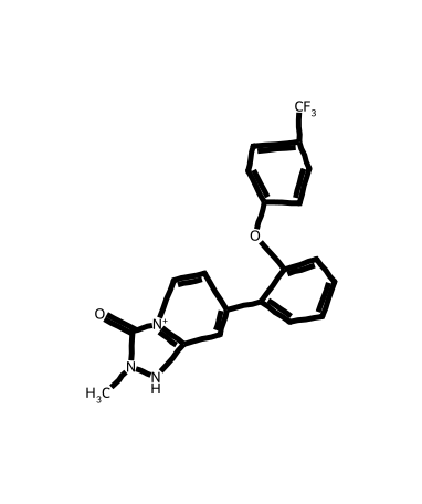 Cn1[nH]c2cc(-c3ccccc3Oc3ccc(C(F)(F)F)cc3)cc[n+]2c1=O